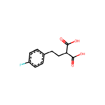 O=C(O)C(CCc1ccc(F)cc1)C(=O)O